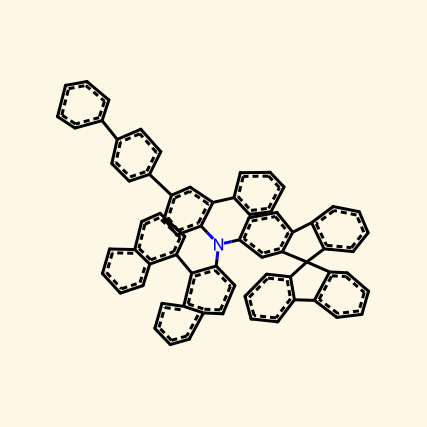 c1ccc(-c2ccc(-c3ccc(N(c4ccc5c(c4)C4(c6ccccc6-c6ccccc64)c4ccccc4-5)c4ccc5ccccc5c4-c4cccc5ccccc45)c(-c4ccccc4)c3)cc2)cc1